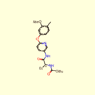 CC[C@H](NC(=O)OCC(C)C)C(=O)Nc1ccc(Oc2ccc(C)c(OC)c2)nc1